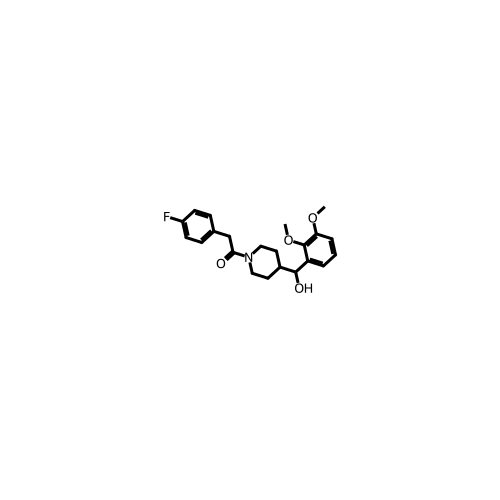 COc1cccc(C(O)C2CCN(C(=O)Cc3ccc(F)cc3)CC2)c1OC